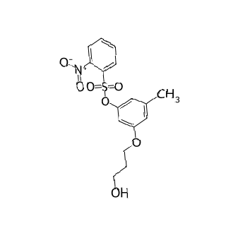 Cc1cc(OCCCO)cc(OS(=O)(=O)c2ccccc2[N+](=O)[O-])c1